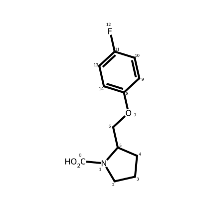 O=C(O)N1CCCC1COc1ccc(F)cc1